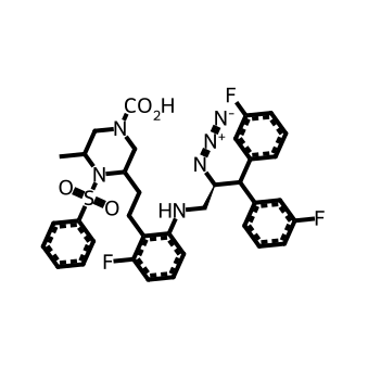 CC1CN(C(=O)O)CC(CCc2c(F)cccc2NC[C@@H](N=[N+]=[N-])C(c2cccc(F)c2)c2cccc(F)c2)N1S(=O)(=O)c1ccccc1